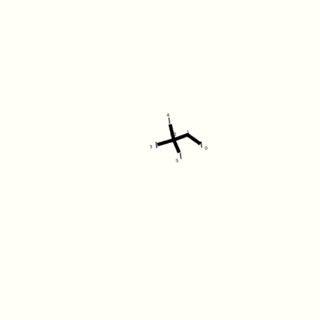 I[CH]C(I)(I)I